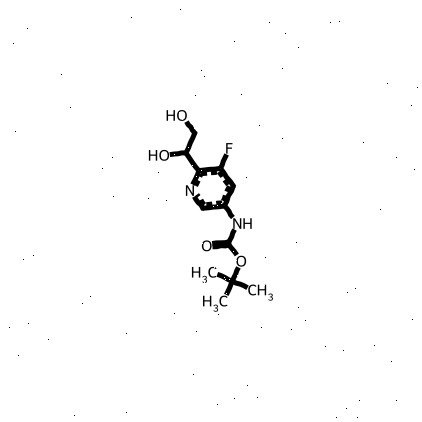 CC(C)(C)OC(=O)Nc1cnc(C(O)CO)c(F)c1